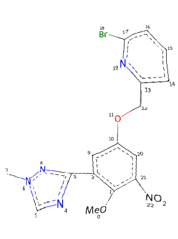 COc1c(-c2ncn(C)n2)cc(OCc2cccc(Br)n2)cc1[N+](=O)[O-]